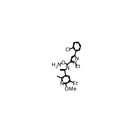 C=C(/N=C(\ON)c1cc(-c2ccccc2Cl)nn1CC)c1cc(CC)c(OC)nc1C